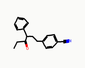 CCC(=O)C(CCc1ccc(C#N)cc1)c1ccccc1